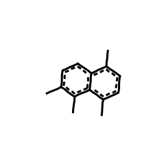 Cc1ccc2c(C)ccc(C)c2c1C